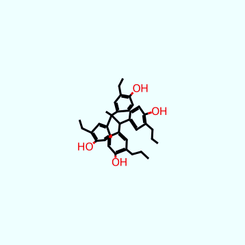 CCCc1cc(C(c2ccc(O)c(CCC)c2)C(C)(c2ccc(O)c(CC)c2)c2ccc(O)c(CC)c2)ccc1O